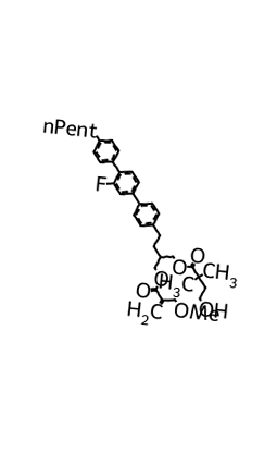 C=C(COC)C(=O)OCC(CCc1ccc(-c2ccc(-c3ccc(CCCCC)cc3)c(F)c2)cc1)COC(=O)C(C)(C)CCO